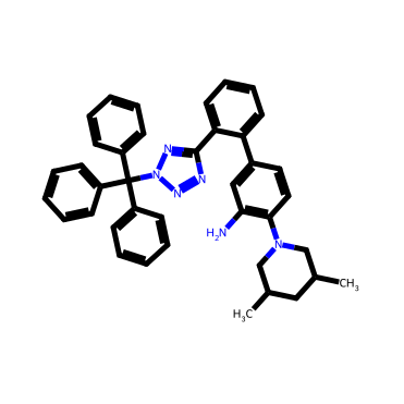 CC1CC(C)CN(c2ccc(-c3ccccc3-c3nnn(C(c4ccccc4)(c4ccccc4)c4ccccc4)n3)cc2N)C1